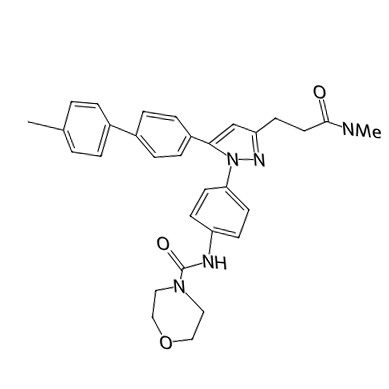 CNC(=O)CCc1cc(-c2ccc(-c3ccc(C)cc3)cc2)n(-c2ccc(NC(=O)N3CCOCC3)cc2)n1